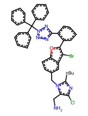 CCCCc1nc(Cl)c(CN)n1Cc1ccc2oc(-c3ccccc3-c3nnn(C(c4ccccc4)(c4ccccc4)c4ccccc4)n3)c(Br)c2c1